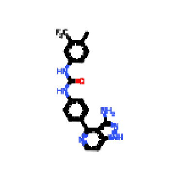 Cc1ccc(NC(=O)Nc2ccc(-c3nccc4[nH]nc(N)c34)cc2)cc1C(F)(F)F